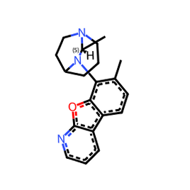 Cc1ccc2c(oc3ncccc32)c1N1C2CCCN(CC2)[C@@H]1C